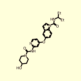 CCC(CC)NC(=O)n1ccc2cc(Oc3ccnc(NC(=O)N4CCC(O)CC4)c3)ccc21